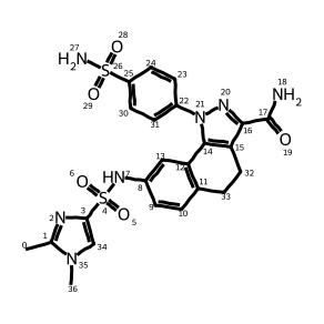 Cc1nc(S(=O)(=O)Nc2ccc3c(c2)-c2c(c(C(N)=O)nn2-c2ccc(S(N)(=O)=O)cc2)CC3)cn1C